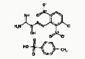 Cc1ccc(S(=O)(=O)O)cc1.N=C(N)N(O)N=Cc1c([N+](=O)[O-])ccc(Cl)c1[N+](=O)[O-]